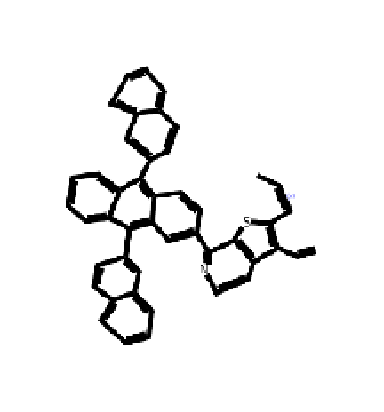 C=Cc1c(/C=C\C)sc2c(-c3ccc4c(-c5ccc6ccccc6c5)c5ccccc5c(-c5ccc6ccccc6c5)c4c3)nccc12